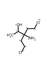 [CH2]C(O)C(N)(CCCl)CCCl